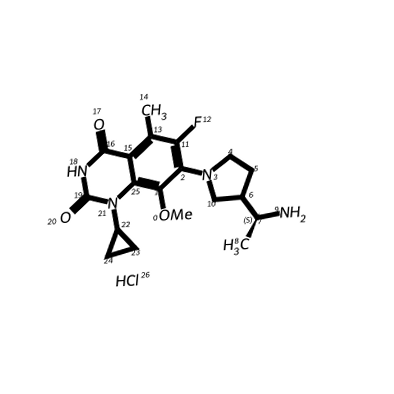 COc1c(N2CCC([C@H](C)N)C2)c(F)c(C)c2c(=O)[nH]c(=O)n(C3CC3)c12.Cl